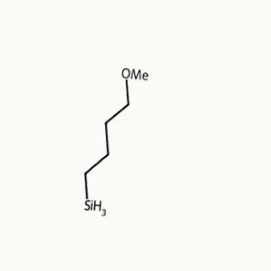 COCCCC[SiH3]